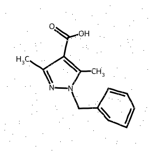 Cc1nn(Cc2ccccc2)c(C)c1C(=O)O